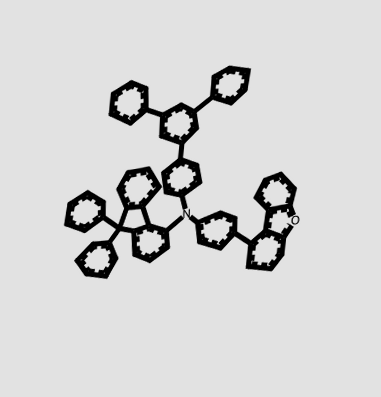 c1ccc(-c2cc(-c3ccccc3)cc(-c3ccc(N(c4ccc(-c5cccc6oc7ccccc7c56)cc4)c4cccc5c4-c4ccccc4C5(c4ccccc4)c4ccccc4)cc3)c2)cc1